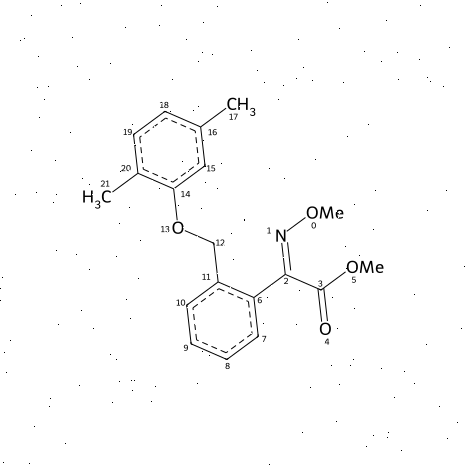 CON=C(C(=O)OC)c1ccccc1COc1cc(C)ccc1C